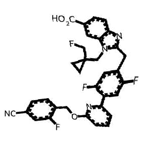 N#Cc1ccc(COc2cccc(-c3cc(F)c(Cc4nc5ccc(C(=O)O)cc5n4CC4(CF)CC4)cc3F)n2)c(F)c1